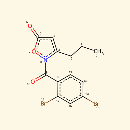 CCCc1cc(=O)on1C(=O)c1ccc(Br)cc1Br